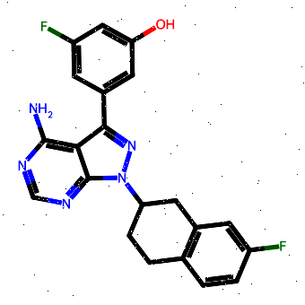 Nc1ncnc2c1c(-c1cc(O)cc(F)c1)nn2C1CCc2ccc(F)cc2C1